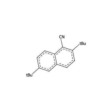 CC(C)(C)c1ccc2c(C#N)c(C(C)(C)C)ccc2c1